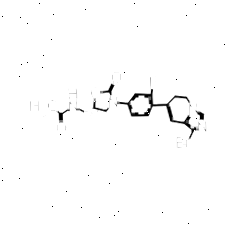 CC(=O)NC[C@H]1CN(c2ccc(C3=Cc4c(Br)ncn4CC3)c(F)c2)C(=O)O1